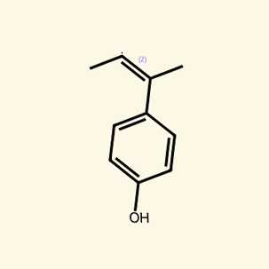 C/[C]=C(/C)c1ccc(O)cc1